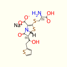 N[C@H](CSC1=C(C(=O)[O-])N2C(=O)[C@H](C(O)Cc3cccs3)[C@H]2S1)C(=O)O.[Na+]